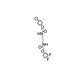 O=C(COc1ccc(Cl)cc1)NCCCCNC(=O)COc1ccc(F)c(F)c1